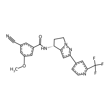 COc1cc(C#N)cc(C(=O)N[C@@H]2CCn3nc(-c4ccnc(C(F)(F)F)c4)cc32)c1